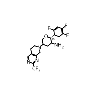 NC1CC(N2CCc3cnc(C(F)(F)F)nc3C2)CO[C@@H]1C1CC(F)=C(F)C=C1F